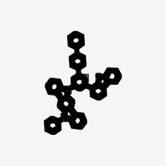 c1ccc(-c2ccc(-c3cc(-n4c5ccccc5c5cc6c(cc54)c4ccccc4n6-c4ccccc4)cc(-c4cccc5c4sc4ccccc45)n3)cc2)cc1